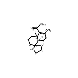 COC(=O)C1=C(C)CC[C@]2(C)[C@@H]1CCCC21OCCO1